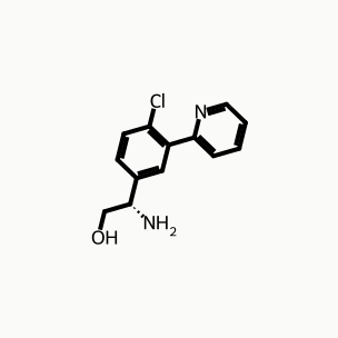 N[C@H](CO)c1ccc(Cl)c(-c2ccccn2)c1